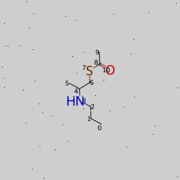 CCCNC(C)CSC(C)=O